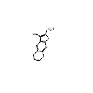 CCCCc1c(C(=O)O)sc2nc3c(cc12)CCCC3